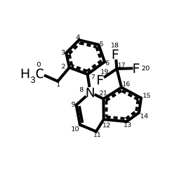 CCc1ccccc1N1C=CCc2cccc(C(F)(F)F)c21